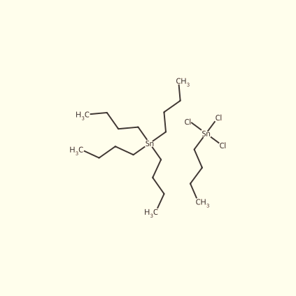 CCC[CH2][Sn]([CH2]CCC)([CH2]CCC)[CH2]CCC.CCC[CH2][Sn]([Cl])([Cl])[Cl]